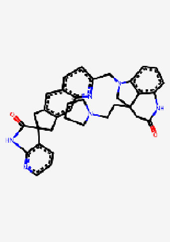 O=C1CC2(CCN3CCCC3)CN(Cc3ccc4cc5c(cc4n3)CC3(C5)C(=O)Nc4ncccc43)c3cccc(c32)N1